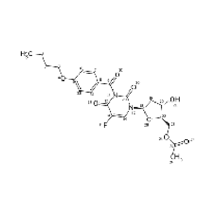 CCCCOc1ccc(C(=O)n2c(=O)c(F)cn([C@H]3C[C@H](O)[C@@H](COC(C)=O)O3)c2=O)cc1